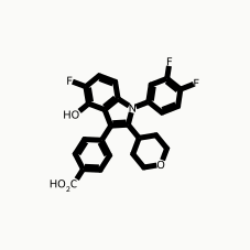 O=C(O)c1ccc(-c2c(C3CCOCC3)n(-c3ccc(F)c(F)c3)c3ccc(F)c(O)c23)cc1